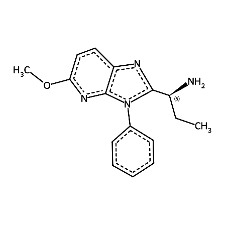 CC[C@H](N)c1nc2ccc(OC)nc2n1-c1ccccc1